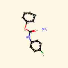 N.O=C(Nc1ccc(F)cc1)Oc1ccccc1